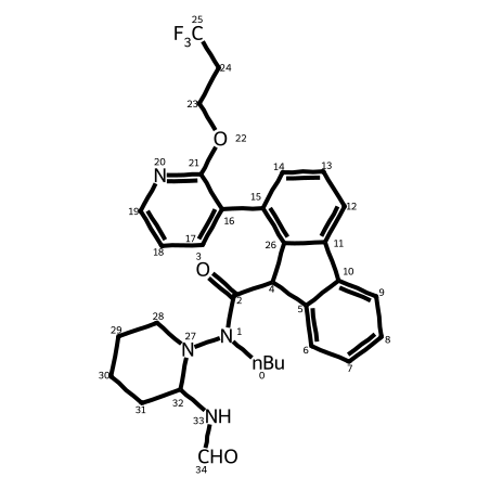 CCCCN(C(=O)C1c2ccccc2-c2cccc(-c3cccnc3OCCC(F)(F)F)c21)N1CCCCC1NC=O